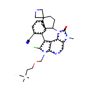 Cn1c(=O)n(C2CCC3(CC2)CNC3)c2c3c(-c4ccccc4C#N)c(Cl)n(COCC[Si](C)(C)C)c3ncc21